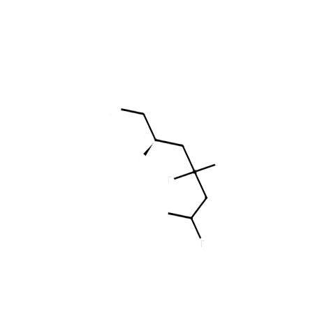 [CH2]C[C@H](F)CC(F)(F)CC(F)F